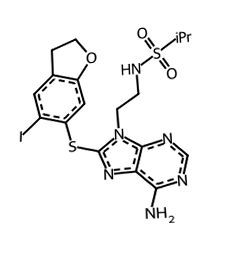 CC(C)S(=O)(=O)NCCn1c(Sc2cc3c(cc2I)CCO3)nc2c(N)ncnc21